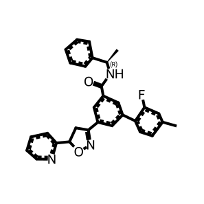 Cc1ccc(-c2cc(C(=O)N[C@H](C)c3ccccc3)cc(C3=NOC(c4ccccn4)C3)c2)c(F)c1